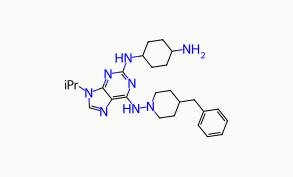 CC(C)n1cnc2c(NN3CCC(Cc4ccccc4)CC3)nc(NC3CCC(N)CC3)nc21